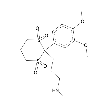 CNCCCC1(c2ccc(OC)c(OC)c2)S(=O)(=O)CCCS1(=O)=O